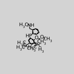 CNCc1ccccc1Pc1cc([Si](C)(C)C)cc([Si](C)(C)C)c1OCOC